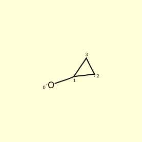 [O]C1[CH]C1